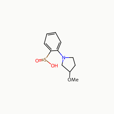 COC1CCN(c2ccccc2S(=O)O)C1